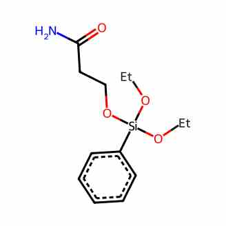 CCO[Si](OCC)(OCCC(N)=O)c1ccccc1